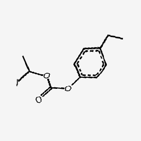 CCc1ccc(OC(=O)OC(C)I)cc1